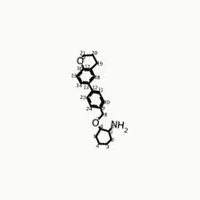 NC1CCCCC1OCc1ccc(-c2ccc3c(c2)CCCO3)cc1